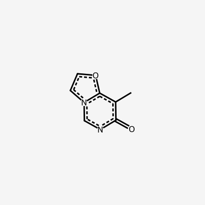 Cc1c(=O)ncn2ccoc12